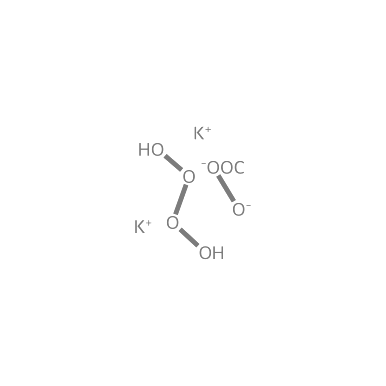 O=C([O-])[O-].OOOO.[K+].[K+]